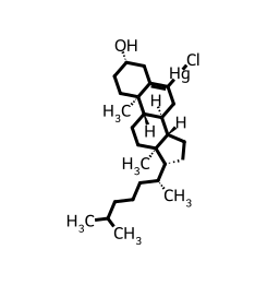 CC(C)CCC[C@@H](C)[C@H]1CC[C@H]2[C@@H]3C[C]([Hg][Cl])=C4C[C@@H](O)CC[C@]4(C)[C@H]3CC[C@]12C